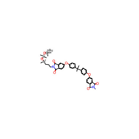 CCCC[Si](C)(C)O[Si](C)(C)O[Si](C)(C)CCCN1C(=O)c2ccc(Oc3ccc(C(C)(C)c4ccc(Oc5ccc6c(c5)C(=O)N(C)C6=O)cc4)cc3)cc2C1=O